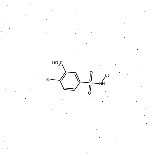 CCNS(=O)(=O)c1ccc(Br)c(C(=O)O)c1